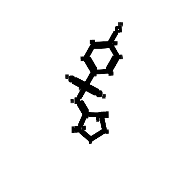 O=S(=O)(N=C1NCCN1)c1ccc(Cl)cc1